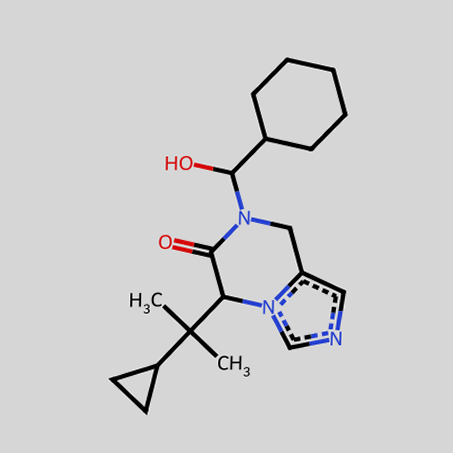 CC(C)(C1CC1)C1C(=O)N(C(O)C2CCCCC2)Cc2cncn21